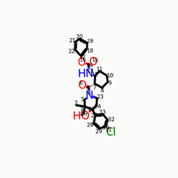 CC1(C)CN(C(=O)[C@H]2CCCC[C@H]2NC(=O)Oc2ccccc2)CC[C@]1(O)c1ccc(Cl)cc1